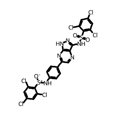 O=S(=O)(Nc1n[nH]c2nc(-c3ccc(N[S+]([O-])c4c(Cl)cc(Cl)cc4Cl)cc3)cnc12)c1c(Cl)cc(Cl)cc1Cl